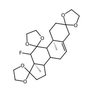 C[C@]12C(CCC13OCCO3)C1CC=C3CC4(CC[C@]3(C)C1C1(OCCO1)C2F)OCCO4